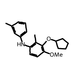 COc1ccc(Nc2cccc(C)c2)c(C)c1OC1CCCC1